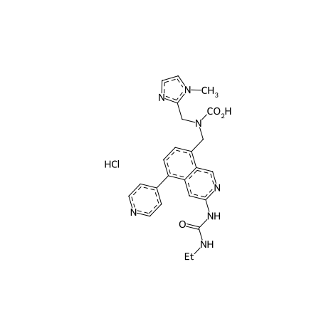 CCNC(=O)Nc1cc2c(-c3ccncc3)ccc(CN(Cc3nccn3C)C(=O)O)c2cn1.Cl